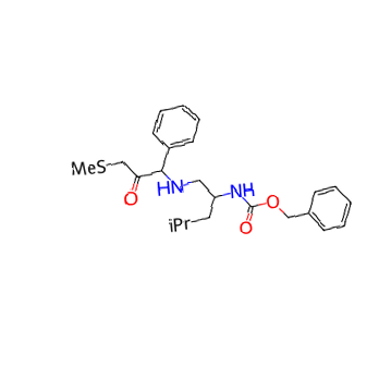 CSCC(=O)C(NCC(CC(C)C)NC(=O)OCc1ccccc1)c1ccccc1